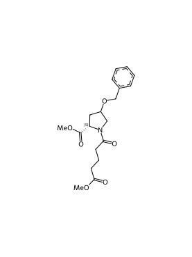 COC(=O)CCCC(=O)N1CC(OCc2ccccc2)C[C@H]1C(=O)OC